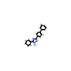 c1ccc(-c2ccc(-c3n[nH]c(-c4ccccc4)n3)cc2)cc1